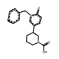 O=C(O)N1CCCC(c2ccc(=O)n(Cc3ccccc3)c2)C1